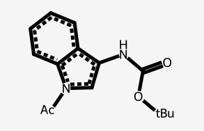 CC(=O)n1cc(NC(=O)OC(C)(C)C)c2ccccc21